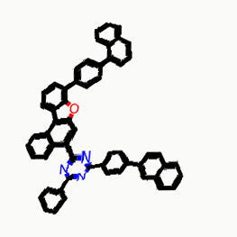 c1ccc(-c2nc(-c3ccc(-c4ccc5ccccc5c4)cc3)nc(-c3cc4oc5c(-c6ccc(-c7cccc8ccccc78)cc6)cccc5c4c4ccccc34)n2)cc1